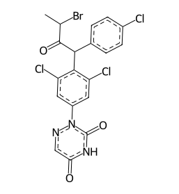 CC(Br)C(=O)C(c1ccc(Cl)cc1)c1c(Cl)cc(-n2ncc(=O)[nH]c2=O)cc1Cl